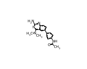 CC(=O)Nc1ccc(-c2ccc3nc(N)nc(N(C)C)c3c2)cc1